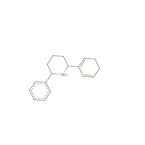 C1=CC(C2CCCC(c3ccccc3)N2)=CCC1